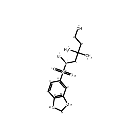 CCN(CC(C)(C)CCO)S(=O)(=O)c1ccc2c(c1)OCO2